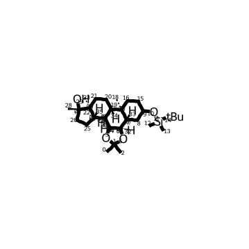 CC1(C)O[C@H]2[C@H](O1)[C@H]1CC(O[Si](C)(C)C(C)(C)C)CC[C@]1(C)[C@H]1CC[C@@]3(C)[C@@H](CC[C@]3(C)O)[C@H]21